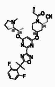 C=CC(=O)N1CC[C@H](Oc2cc(O[C@@H](C)[C@@H]3CCCN3C)nc(-c3noc(C(C)(C)c4c(F)cccc4F)n3)n2)C[C@H]1CC#N